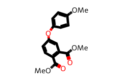 COC(=O)c1ccc(Oc2ccc(OC)cc2)cc1C(=O)OC